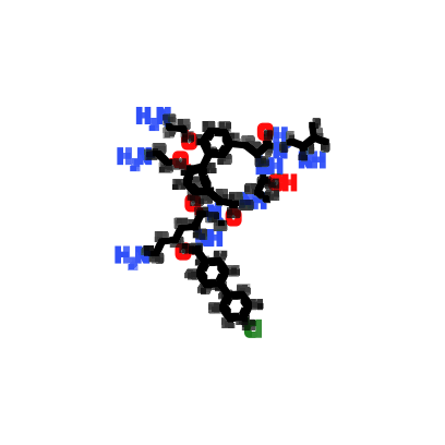 CC(C)C(=N)CNC(=O)C1Cc2ccc(OCCN)c(c2)-c2cc(ccc2OCCN)C(N(C)C(=O)C(CCCCN)NC(=O)c2ccc(-c3ccc(Cl)cc3)cc2)C(=O)NC(C)C(O)N1